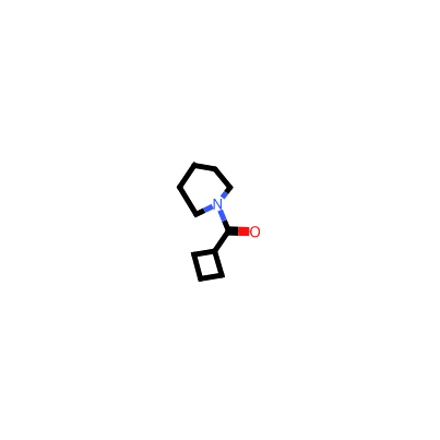 O=C(C1CCC1)N1CC[CH]CC1